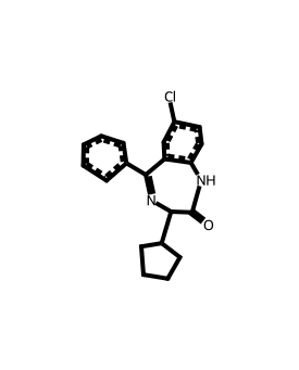 O=C1Nc2ccc(Cl)cc2C(c2ccccc2)=NC1C1CCCC1